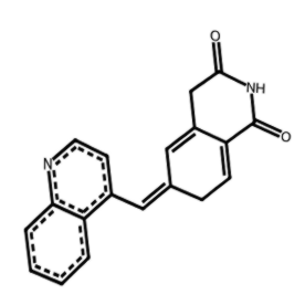 O=C1CC2=CC(=Cc3ccnc4ccccc34)CC=C2C(=O)N1